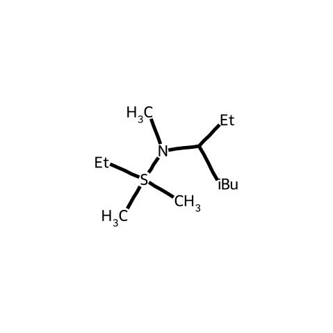 CCC(C)C(CC)N(C)S(C)(C)CC